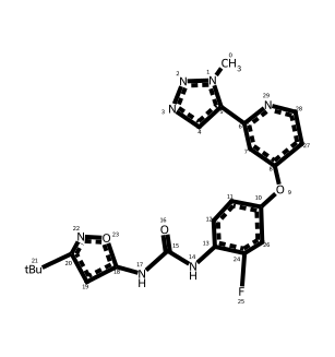 Cn1nncc1-c1cc(Oc2ccc(NC(=O)Nc3cc(C(C)(C)C)no3)c(F)c2)ccn1